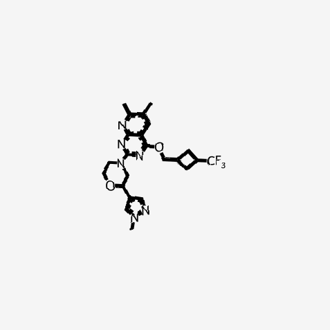 Cc1cc2c(OCC3CC(C(F)(F)F)C3)nc(N3CCOC(c4cnn(C)c4)C3)nc2nc1C